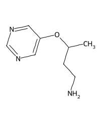 CC(CCN)Oc1cncnc1